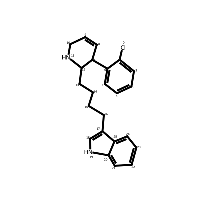 Clc1ccccc1C1C=CCNC1CCCCc1c[nH]c2ccccc12